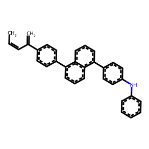 C=C(/C=C\C)c1ccc(-c2cccc3c(-c4ccc(Nc5ccccc5)cc4)cccc23)cc1